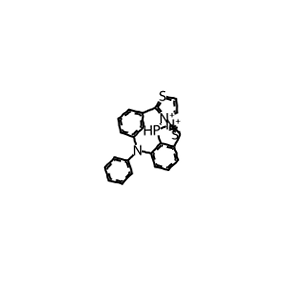 c1ccc(N2c3cccc4c3[PH]3(c5c(cccc52)-c2scc[n+]23)[n+]2ccsc2-4)cc1